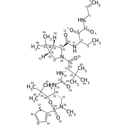 C=CCNC(=O)C(=O)C(CC)NC(=O)[C@@H]1[C@@H]2[C@H](CN1C(=O)[C@@H](NC(=O)N[C@H](CN(C)S(=O)(=O)c1cccs1)CC(C)(C)C)C(C)(C)C)C2(C)C